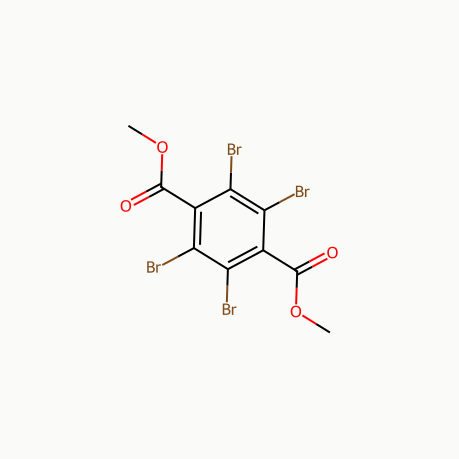 COC(=O)c1c(Br)c(Br)c(C(=O)OC)c(Br)c1Br